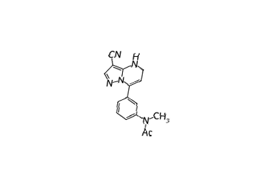 CC(=O)N(C)c1cccc(C2=CCNc3c(C#N)cnn32)c1